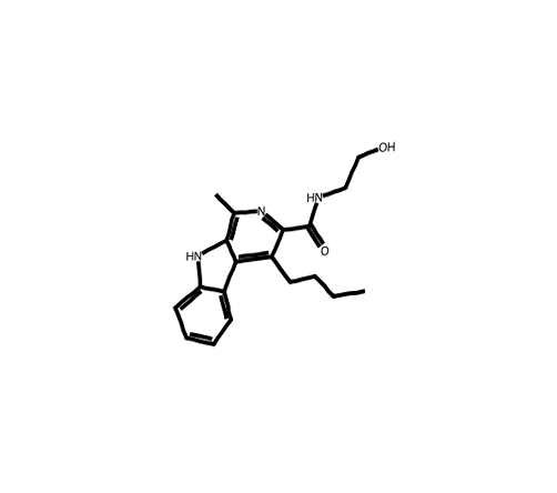 CCCCc1c(C(=O)NCCO)nc(C)c2[nH]c3ccccc3c12